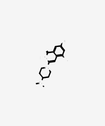 CN(C)C1CCN(c2cc3c(Br)cc(Br)cc3c(=O)[nH]2)CC1